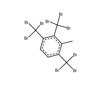 [CH2]c1c(C(Br)(Br)Br)ccc(C(Br)(Br)Br)c1C(Br)(Br)Br